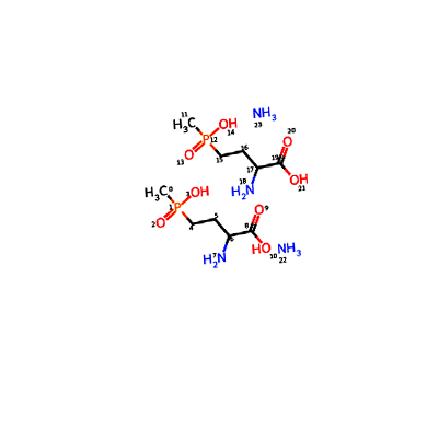 CP(=O)(O)CCC(N)C(=O)O.CP(=O)(O)CCC(N)C(=O)O.N.N